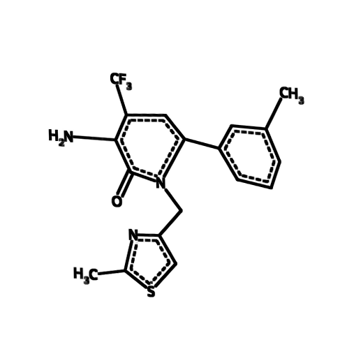 Cc1cccc(-c2cc(C(F)(F)F)c(N)c(=O)n2Cc2csc(C)n2)c1